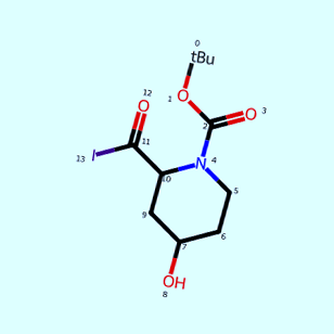 CC(C)(C)OC(=O)N1CCC(O)CC1C(=O)I